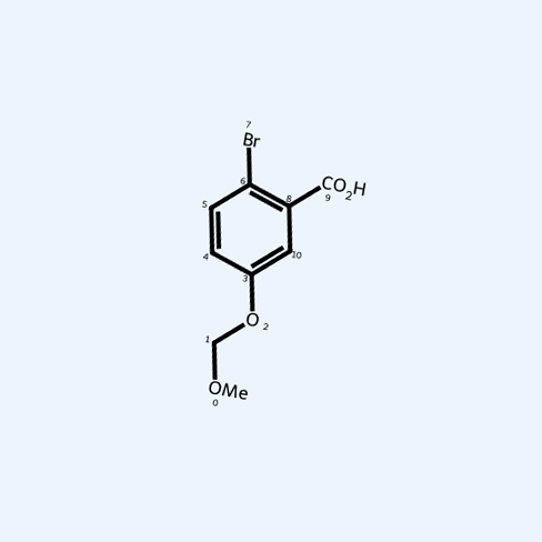 COCOc1ccc(Br)c(C(=O)O)c1